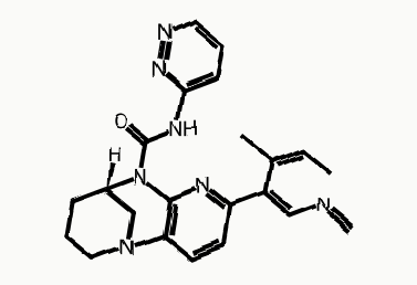 C=N/C=C(\C(C)=C/C)c1ccc2c(n1)N(C(=O)Nc1cccnn1)[C@H]1CCCN2C1